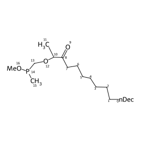 CCCCCCCCCCCCCCCCCC(=O)C(C)OCP(C)OC